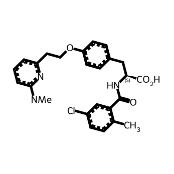 CNc1cccc(CCOc2ccc(C[C@H](NC(=O)c3cc(Cl)ccc3C)C(=O)O)cc2)n1